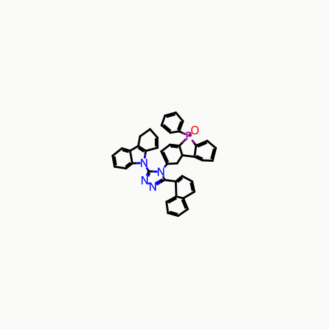 O=P1(c2ccccc2)C2=CC=C(n3c(-c4cccc5ccccc45)nnc3-n3c4c(c5ccccc53)CCC=C4)CC2c2ccccc21